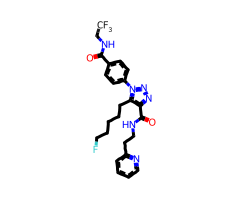 O=C(NCC(F)(F)F)c1ccc(-n2nnc(C(=O)NCCc3ccccn3)c2CCCCCF)cc1